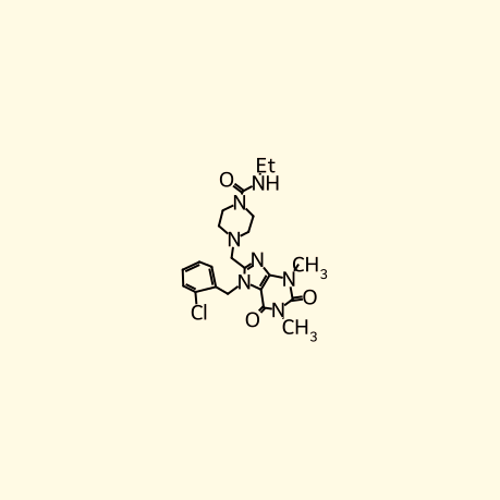 CCNC(=O)N1CCN(Cc2nc3c(c(=O)n(C)c(=O)n3C)n2Cc2ccccc2Cl)CC1